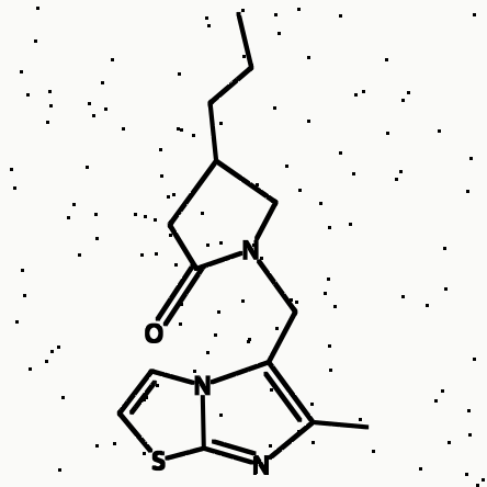 CCCC1CC(=O)N(Cc2c(C)nc3sccn23)C1